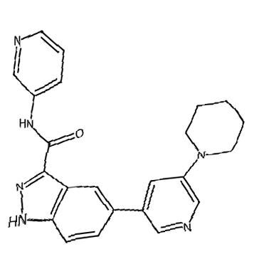 O=C(Nc1cccnc1)c1n[nH]c2ccc(-c3cncc(N4CCCCC4)c3)cc12